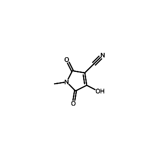 CN1C(=O)C(O)=C(C#N)C1=O